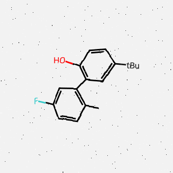 Cc1ccc(F)cc1-c1cc(C(C)(C)C)ccc1O